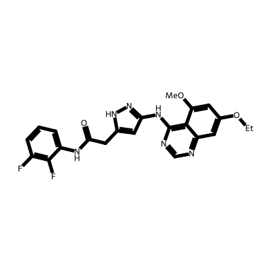 CCOc1cc(OC)c2c(Nc3cc(CC(=O)Nc4cccc(F)c4F)[nH]n3)ncnc2c1